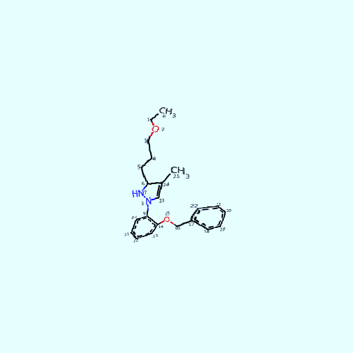 CCOCCCC1NN(c2ccccc2OCc2ccccc2)C=C1C